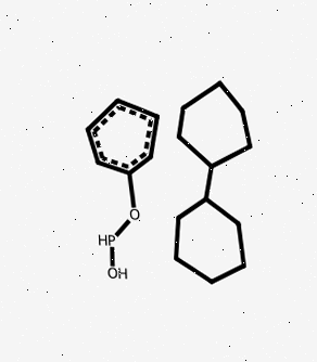 C1CCC(C2CCCCC2)CC1.OPOc1ccccc1